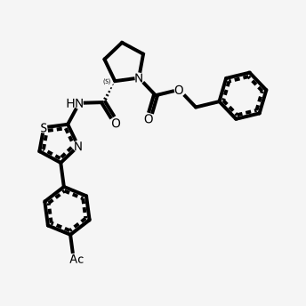 CC(=O)c1ccc(-c2csc(NC(=O)[C@@H]3CCCN3C(=O)OCc3ccccc3)n2)cc1